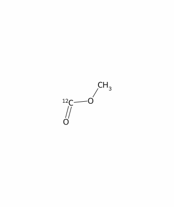 CO[12CH]=O